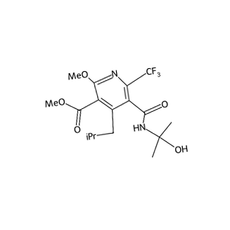 COC(=O)c1c(OC)nc(C(F)(F)F)c(C(=O)NC(C)(C)O)c1CC(C)C